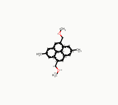 COCc1cc2cc(C)cc3c(COC)cc4cc(C)cc1c4c23